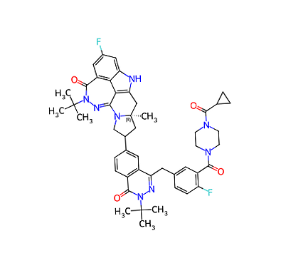 CC(C)(C)N1N=C2c3c([nH]c4cc(F)cc(c34)C1=O)C[C@@]1(C)CC(c3ccc4c(=O)n(C(C)(C)C)nc(Cc5ccc(F)c(C(=O)N6CCN(C(=O)C7CC7)CC6)c5)c4c3)CN21